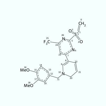 C=CS(=O)(=O)c1nc(C2=CN(Cc3ccc(OC)c(OC)c3)CC=C2)cc(C(F)(F)F)n1